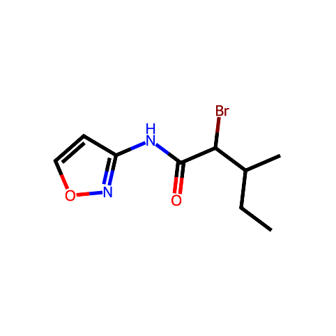 CCC(C)C(Br)C(=O)Nc1ccon1